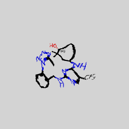 Cc1nnnn1-c1ccccc1CNc1ncc(C(F)(F)F)c(NC2CC[C@@H](O)C(C)(C)C2)n1